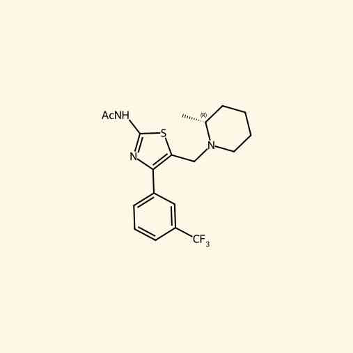 CC(=O)Nc1nc(-c2cccc(C(F)(F)F)c2)c(CN2CCCC[C@H]2C)s1